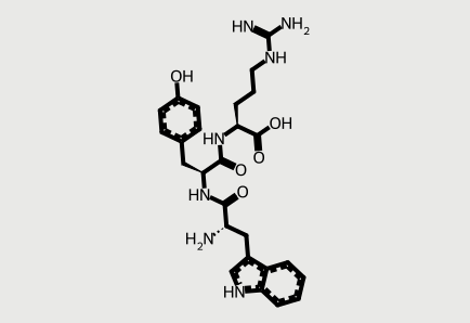 N=C(N)NCCC[C@H](NC(=O)[C@H](Cc1ccc(O)cc1)NC(=O)[C@@H](N)Cc1c[nH]c2ccccc12)C(=O)O